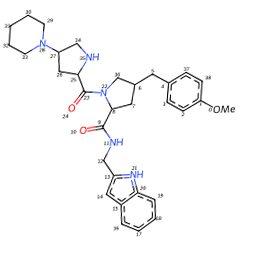 COc1ccc(CC2CC(C(=O)NCc3cc4ccccc4[nH]3)N(C(=O)C3CC(N4CCCCC4)CN3)C2)cc1